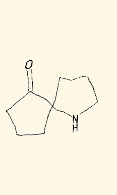 O=C1CCCC12CCCN2